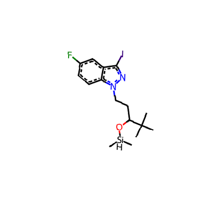 C[SiH](C)OC(CCn1nc(I)c2cc(F)ccc21)C(C)(C)C